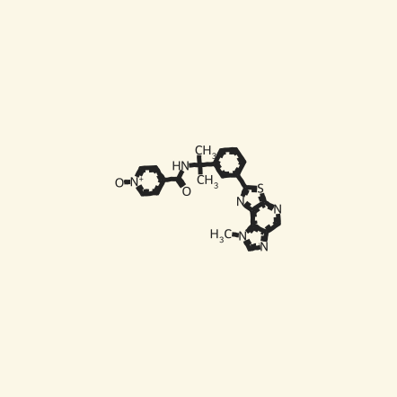 Cn1cnc2cnc3sc(-c4cccc(C(C)(C)NC(=O)c5cc[n+]([O-])cc5)c4)nc3c21